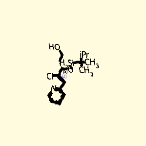 CC(C)C(C)(C)[SiH2]O[C@@H](CCO)/C(Cl)=C/c1ccccn1